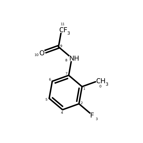 Cc1c(F)cccc1NC(=O)C(F)(F)F